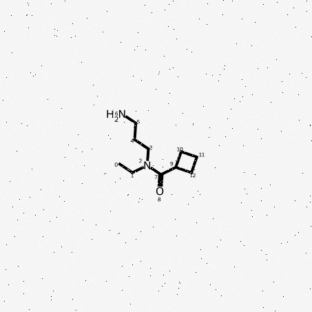 CCN(CCCN)C(=O)C1CCC1